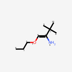 CCCO/C=C(\N)C(C)(C)C